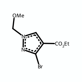 CCOC(=O)c1cn(COC)nc1Br